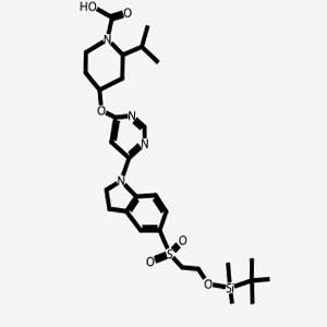 CC(C)C1CC(Oc2cc(N3CCc4cc(S(=O)(=O)CCO[Si](C)(C)C(C)(C)C)ccc43)ncn2)CCN1C(=O)O